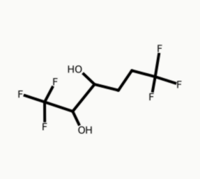 OC(CCC(F)(F)F)C(O)C(F)(F)F